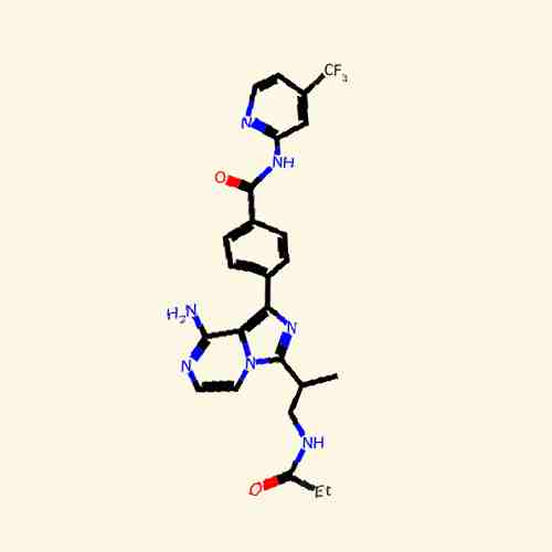 CCC(=O)NCC(C)c1nc(-c2ccc(C(=O)Nc3cc(C(F)(F)F)ccn3)cc2)c2c(N)nccn12